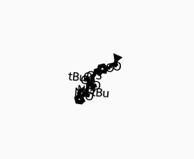 CC(C)(C)OC(=O)C(CCn1nnc2ccccc2c1=O)(CC(=O)c1cc2ccc(OCC(=O)C3CC3)cc2s1)C(=O)OC(C)(C)C